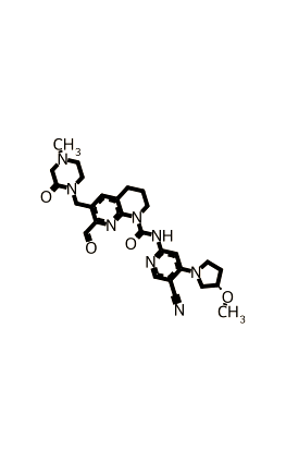 CO[C@H]1CCN(c2cc(NC(=O)N3CCCc4cc(CN5CCN(C)CC5=O)c(C=O)nc43)ncc2C#N)C1